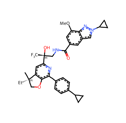 CC[C@@]1(C)COc2c1cc([C@](O)(CNC(=O)c1cc(OC)c3nn(C4CC4)cc3c1)C(F)(F)F)nc2-c1ccc(C2CC2)cc1